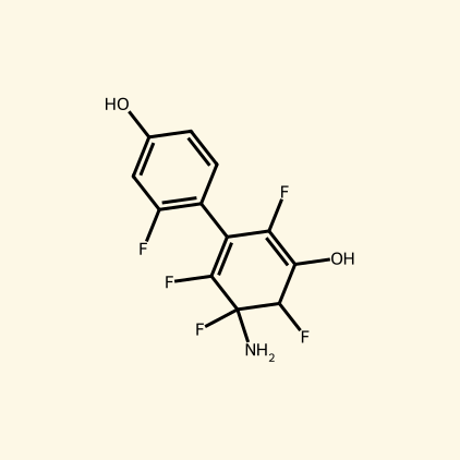 NC1(F)C(F)=C(c2ccc(O)cc2F)C(F)=C(O)C1F